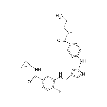 NCCNC(=O)c1ccc(Nc2ncc(CNc3cc(C(=O)NC4CC4)ccc3F)s2)nc1